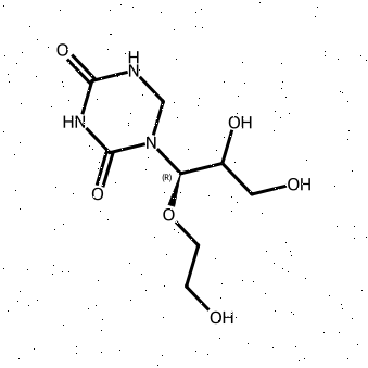 O=C1NCN([C@H](OCCO)C(O)CO)C(=O)N1